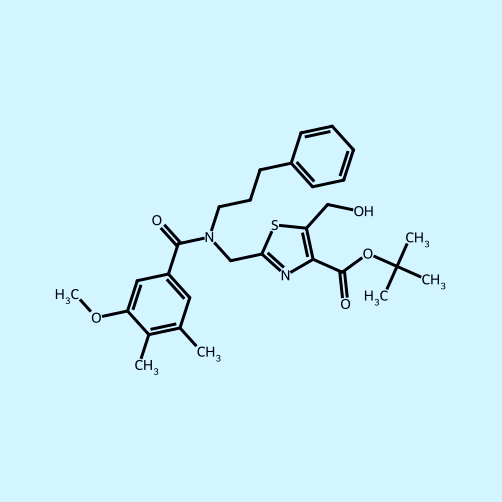 COc1cc(C(=O)N(CCCc2ccccc2)Cc2nc(C(=O)OC(C)(C)C)c(CO)s2)cc(C)c1C